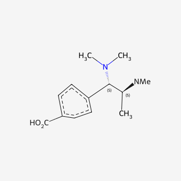 CN[C@@H](C)[C@H](c1ccc(C(=O)O)cc1)N(C)C